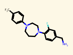 NCc1ccc(N2CCCN(c3ccc(C(F)(F)F)cc3)CC2)c(F)c1